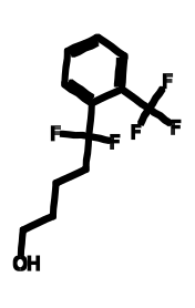 OCCCCC(F)(F)c1ccccc1C(F)(F)F